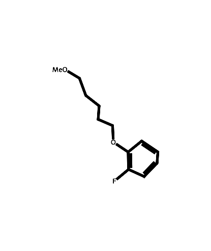 COCCCCCOc1ccc[c]c1F